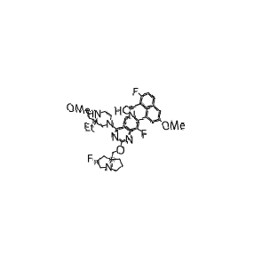 C#Cc1c(F)ccc2cc(OC)cc(-c3ncc4c(N5CCN[C@@](CC)(COC)C5)nc(OC[C@@]56CCCN5C[C@H](F)C6)nc4c3F)c12